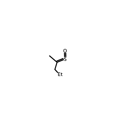 CCCC(C)=S=O